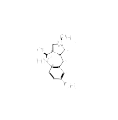 Cc1ccc2c(c1)CC1CN(C)CC1C(=O)N2